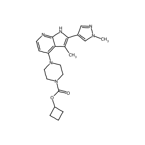 Cc1c(-c2cnn(C)c2)[nH]c2nccc(N3CCN(C(=O)OC4CCC4)CC3)c12